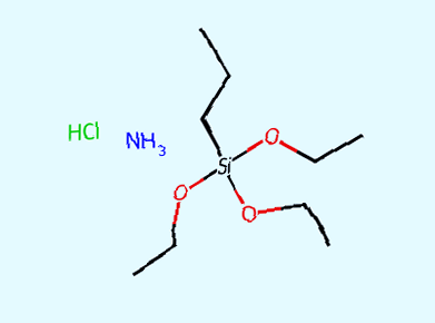 CCC[Si](OCC)(OCC)OCC.Cl.N